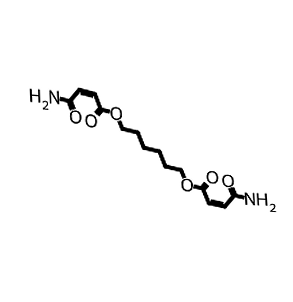 NC(=O)/C=C\C(=O)OCCCCCCOC(=O)/C=C\C(N)=O